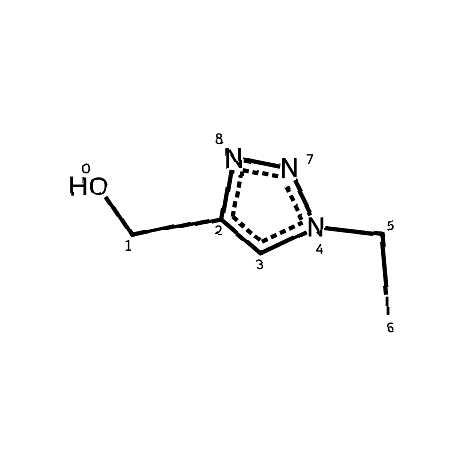 OCc1cn(CI)nn1